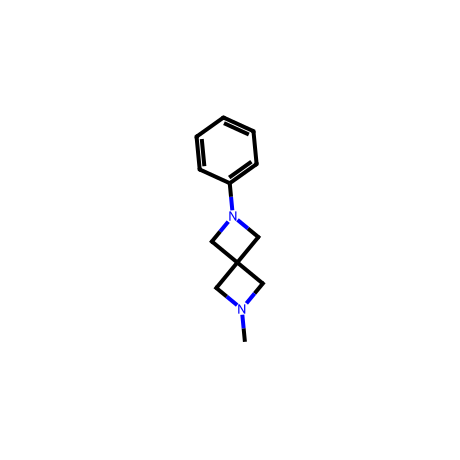 CN1CC2(C1)CN(c1ccccc1)C2